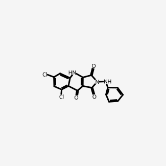 O=C1c2[nH]c3cc(Cl)cc(Cl)c3c(=O)c2C(=O)N1Nc1ccccc1